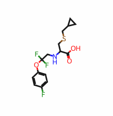 O=C(O)C(CSCC1CC1)NCC(F)(F)Oc1ccc(F)cc1